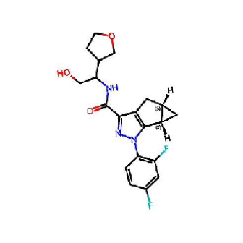 O=C(NC(CO)C1CCOC1)c1nn(-c2ccc(F)cc2F)c2c1C[C@@H]1C[C@H]21